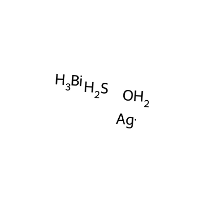 O.S.[Ag].[BiH3]